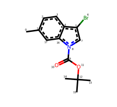 Cc1ccc2c(Br)cn(C(=O)OC(C)(C)C)c2c1